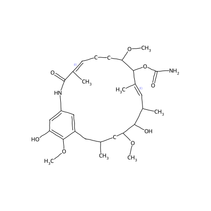 COc1c(O)cc2cc1CC(C)CC(OC)C(O)C(C)/C=C(\C)C(OC(N)=O)C(OC)CC/C=C(\C)C(=O)N2